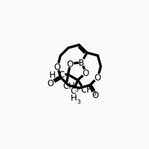 CC1(C)OB(/C2=C\CCOC(=O)CCC(=O)OCC2)OC1(C)C